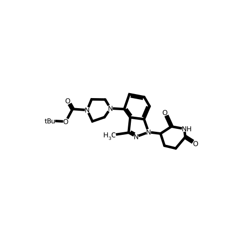 Cc1nn(C2CCC(=O)NC2=O)c2cccc(N3CCN(C(=O)OC(C)(C)C)CC3)c12